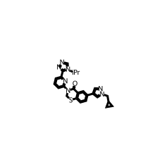 CC(C)n1cnnc1-c1cccc(N2CSc3ccc(-c4cnn(CC5CC5)c4)cc3C2=O)n1